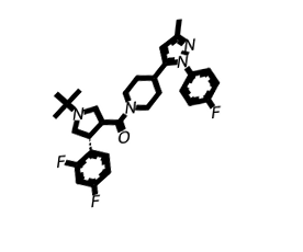 Cc1cc(C2CCN(C(=O)C3CN(C(C)(C)C)C[C@H]3c3ccc(F)cc3F)CC2)n(-c2ccc(F)cc2)n1